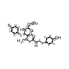 CN(CC(=O)NCCc1ccc(O)cc1)C(=O)[C@H](Cc1ccc(F)cc1)NC(=O)OC(C)(C)C